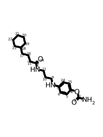 NC(=O)Oc1ccc(NCCCNC(=O)[CH]CCC2CCCCC2)cc1